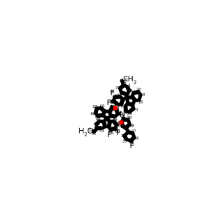 C=Cc1ccc(C2(c3cc(F)c(F)c(F)c3)C3=C(CCC=C3)c3ccc(N(c4ccc(-c5ccc(F)cc5)cc4)c4ccc5c(c4)C(c4ccc(C=C)cc4)(c4cc(F)c(F)c(F)c4)c4ccccc4-5)cc32)cc1